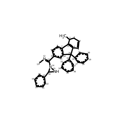 CC1CC=CC2=C1c1ccc(/C(=N/I)N3NC3c3ccccc3)cc1C2(c1ccccc1)c1ccccc1